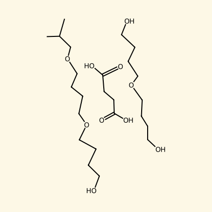 CC(C)COCCCCOCCCCO.O=C(O)CCC(=O)O.OCCCCOCCCCO